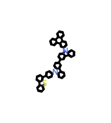 c1ccc2c(c1)sc1c(-c3ccc(-n4c5ccccc5c5cc(-c6ccc7c(c6)c6ccccc6n7-c6ccc7c8ccccc8c8ccccc8c7c6)ccc54)cc3)cccc12